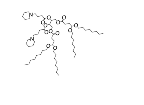 CCCCCCCCOC(CCC(=O)OCC(OC(=O)CCCN1CCCCC1)C(COC(=O)CCC(OCCCCCCCC)OCCCCCCCC)OC(=O)CCCN1CCCCC1)OCCCCCCCC